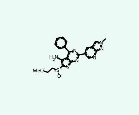 COCC[S@@+]([O-])c1sc2nc(-c3cnc4nn(C)cc4c3)nc(-c3ccccc3)c2c1N